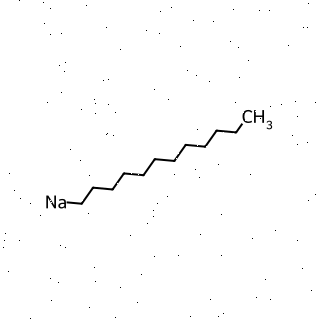 CCCCCCCCCCC[CH2][Na]